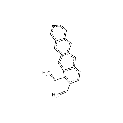 C=Cc1ccc2cc3cc4ccccc4cc3cc2c1C=C